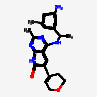 Cc1nc(NC(C)c2cc(N)cc(C(F)(F)F)c2)c2cc(C3=CCOCC3)c(=O)[nH]c2n1